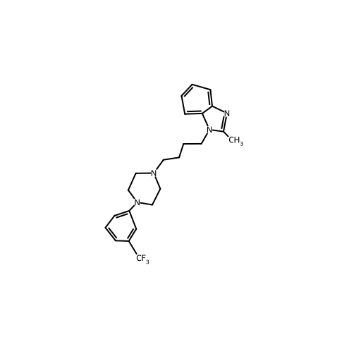 Cc1nc2ccccc2n1CCCCN1CCN(c2cccc(C(F)(F)F)c2)CC1